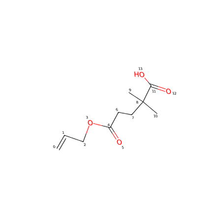 C=CCOC(=O)CCC(C)(C)C(=O)O